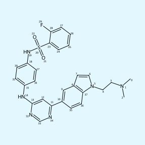 CN(C)CCn1ccc2cc(-c3cc(Nc4ccc(NS(=O)(=O)c5ccccc5F)cc4)ncn3)ccc21